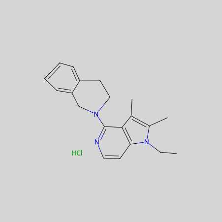 CCn1c(C)c(C)c2c(N3CCc4ccccc4C3)nccc21.Cl